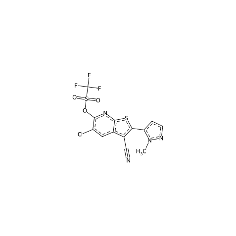 Cn1nccc1-c1sc2nc(OS(=O)(=O)C(F)(F)F)c(Cl)cc2c1C#N